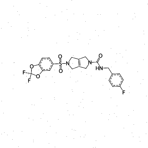 O=C(NCc1ccc(F)cc1)N1CC2=C(C1)CN(S(=O)(=O)c1ccc3c(c1)OC(F)(F)O3)C2